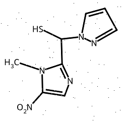 Cn1c([N+](=O)[O-])cnc1C(S)n1cccn1